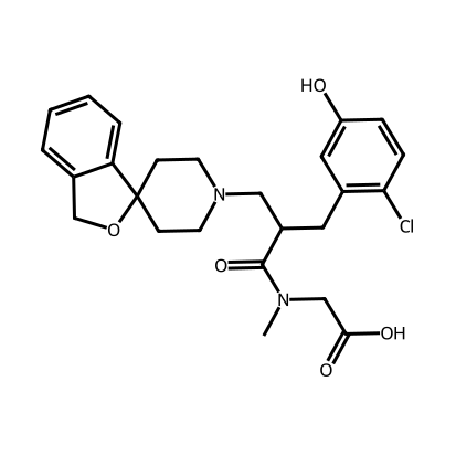 CN(CC(=O)O)C(=O)C(Cc1cc(O)ccc1Cl)CN1CCC2(CC1)OCc1ccccc12